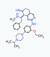 CCOc1cc(N2CCN(C(C)C)CC2)ccc1Nc1ncc2c(n1)/C(=C(\Cc1ccccc1)NC)C(=N)CC2